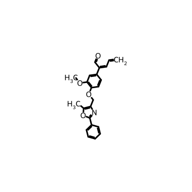 C=CC=C(C=O)c1ccc(OCc2nc(-c3ccccc3)oc2C)c(OC)c1